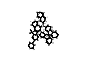 CC1(C)c2cc(-c3ccccc3)ccc2-c2cc(N(c3ccc4c(c3)C3(c5ccccc5-c5ccccc53)c3ccccc3-4)c3ccc4ccccc4c3)c3ccccc3c21